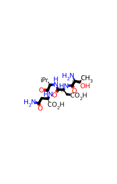 CC(C)[C@H](NC(=O)[C@H](CC(=O)O)NC(=O)[C@@H](N)[C@@H](C)O)C(=O)N[C@@H](CC(N)=O)C(=O)O